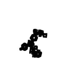 Cc1ccc(-n2nc(C3CCN([S+]([O-])c4ccc(Cl)s4)CC3)cc2NC(=O)c2cnn3cccnc23)cc1